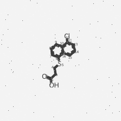 O=C(O)CCSc1cccc2c(Cl)cccc12